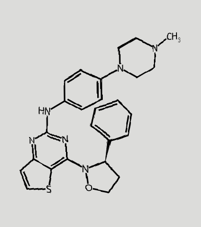 CN1CCN(c2ccc(Nc3nc(N4OCC[C@@H]4c4ccccc4)c4sccc4n3)cc2)CC1